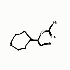 C=CC(OC(=O)CCCC)C1CCCCC1